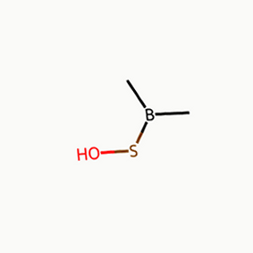 CB(C)SO